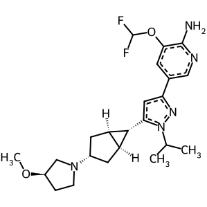 CO[C@@H]1CCN([C@@H]2C[C@@H]3[C@H](C2)[C@H]3c2cc(-c3cnc(N)c(OC(F)F)c3)nn2C(C)C)C1